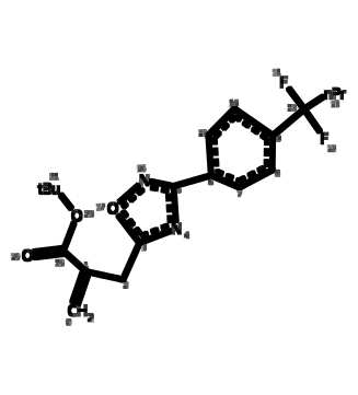 C=C(Cc1nc(-c2ccc(C(F)(F)CCC)cc2)no1)C(=O)OC(C)(C)C